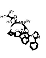 CC(C)[C@H](O)C(=O)N[C@H]1Cc2ccc3c(c2)C2(c4ccccc4N[C@H]2O3)c2oc(nc2C(=O)N2CCN=C2c2ccccc2)[C@H](C(C)C)NC1=O